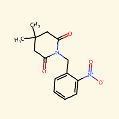 CC1(C)CC(=O)N(Cc2ccccc2[N+](=O)[O-])C(=O)C1